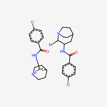 CCC1C(NC(=O)c2ccc(Cl)cc2)CC2CCN1CC2.O=C(NC1CC2CCN(CC2)C1)c1ccc(Cl)cc1